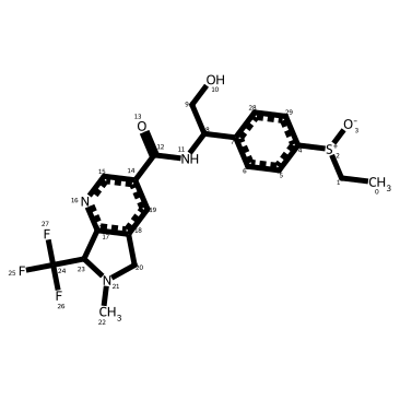 CC[S+]([O-])c1ccc(C(CO)NC(=O)c2cnc3c(c2)CN(C)C3C(F)(F)F)cc1